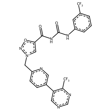 O=C(NC(=O)c1c[n+](Cc2ccc(-c3cncnc3C(F)(F)F)cn2)no1)Nc1cccc(C(F)(F)F)c1